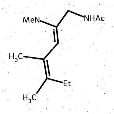 CC/C(C)=C(C)\C=C(\CNC(C)=O)NC